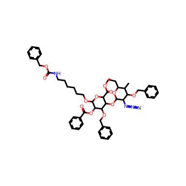 CCC1OC(OC2C(C(=O)OC)OC(OCCCCCCNC(=O)OCc3ccccc3)C(OC(=O)c3ccccc3)C2OCc2ccccc2)C(N=[N+]=[N-])C(OCc2ccccc2)C1C